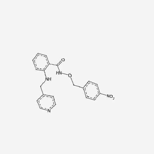 O=C(NOCc1ccc([N+](=O)[O-])cc1)c1ccccc1NCc1ccncc1